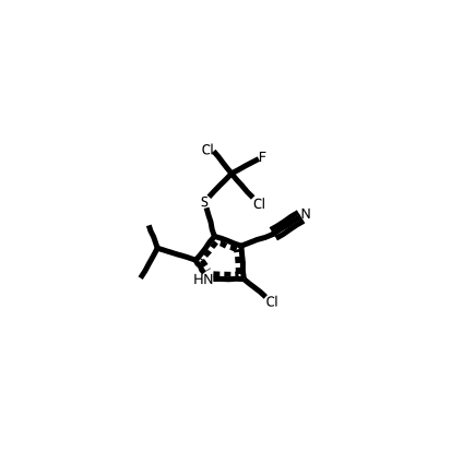 CC(C)c1[nH]c(Cl)c(C#N)c1SC(F)(Cl)Cl